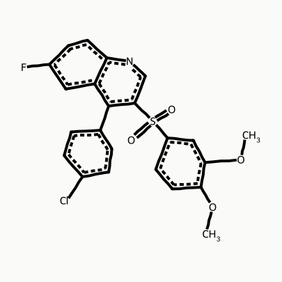 COc1ccc(S(=O)(=O)c2cnc3ccc(F)cc3c2-c2ccc(Cl)cc2)cc1OC